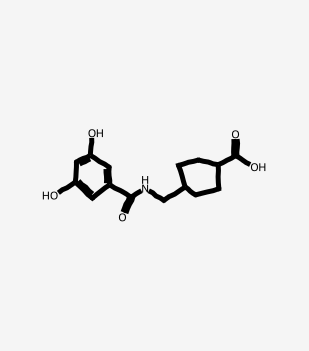 O=C(NCC1CCC(C(=O)O)CC1)c1cc(O)cc(O)c1